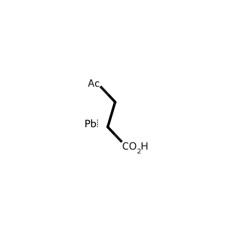 CC(=O)CCC(=O)O.[Pb]